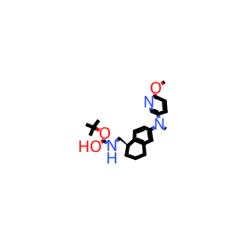 COc1ccc(N(C)c2ccc3c(c2)CCC[C@H]3CNC(O)OC(C)(C)C)cn1